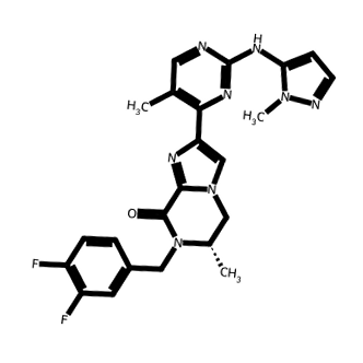 Cc1cnc(Nc2ccnn2C)nc1-c1cn2c(n1)C(=O)N(Cc1ccc(F)c(F)c1)[C@@H](C)C2